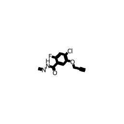 C#CCOc1cc(C(=O)NN=C)c(F)cc1Cl